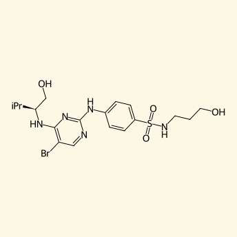 CC(C)[C@@H](CO)Nc1nc(Nc2ccc(S(=O)(=O)NCCCO)cc2)ncc1Br